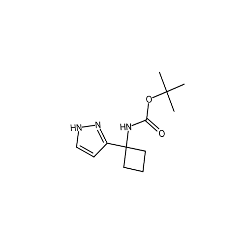 CC(C)(C)OC(=O)NC1(c2cc[nH]n2)CCC1